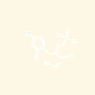 Nc1ccn(CC(CO)OCP(=O)(O)O)c(=O)n1.O=PO